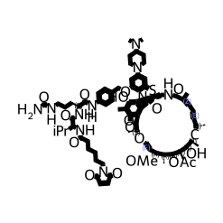 CO[C@H]1/C=C/O[C@@]2(C)Oc3c(C)c(O)c4c(=O)c(c5sc6cc(N7CCC(N(C)C)CC7)cc(OCc7ccc(NC(=O)[C@H](CCCNC(N)=O)NC(=O)C(NC(=O)CCCCCN8C(=O)C=CC8=O)C(C)C)cc7)c6nc-5c4c3C2=O)NC(=O)/C(C)=C\C=C\[C@H](C)C[C@@H](C)[C@@H](O)[C@@H](C)[C@H](OC(C)=O)[C@@H]1C